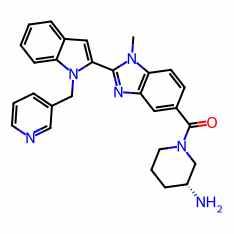 Cn1c(-c2cc3ccccc3n2Cc2cccnc2)nc2cc(C(=O)N3CCC[C@@H](N)C3)ccc21